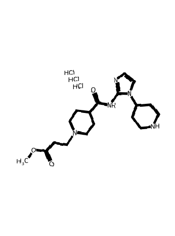 COC(=O)CCN1CCC(C(=O)Nc2nccn2C2CCNCC2)CC1.Cl.Cl.Cl